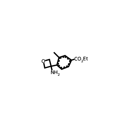 CCOC(=O)c1ccc(C2(N)COC2)c(C)c1